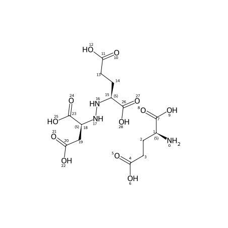 N[C@@H](CCC(=O)O)C(=O)O.O=C(O)CC[C@H](NN[C@@H](CC(=O)O)C(=O)O)C(=O)O